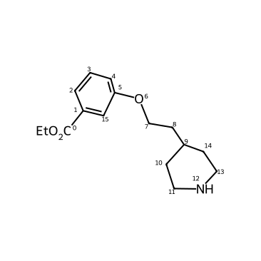 CCOC(=O)c1cccc(OCCC2CCNCC2)c1